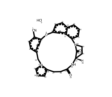 Cl.N#Cc1ccc2cc1Oc1ccc3cccc(c3c1)N1CC[C@H](NC(=O)CCc3cncn3C2)C1=O